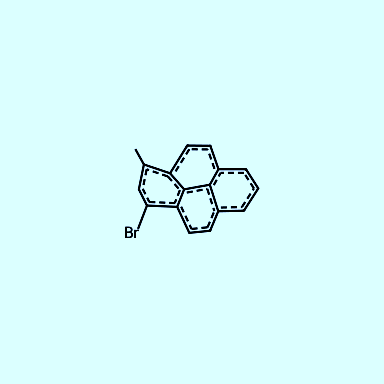 Cc1cc(Br)c2ccc3cccc4ccc1c2c43